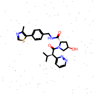 Cc1ncsc1-c1ccc(CNC(=O)[C@@H]2C[C@@H](O)CN2C(=O)[C@@H](c2cccnn2)C(C)C)cc1